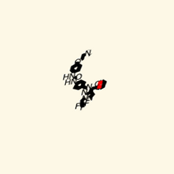 CN(C)CCOc1ccc(NC(=O)Nc2ccc(-c3nc(N4CC5CCC4CO5)c4cnn(CC(F)(F)F)c4n3)cc2)cc1